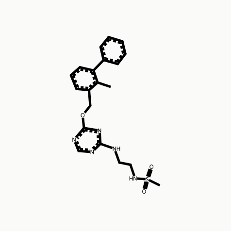 Cc1c(COc2ncnc(NCCNS(C)(=O)=O)n2)cccc1-c1ccccc1